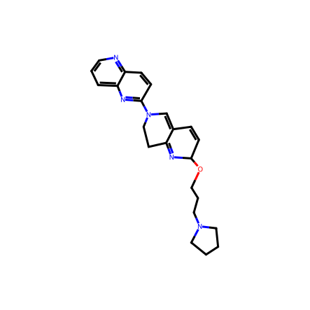 C1=CC(OCCCN2CCCC2)N=C2CCN(c3ccc4ncccc4n3)C=C12